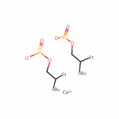 CCCCC(CC)CO[PH](=O)[O-].CCCCC(CC)CO[PH](=O)[O-].[Ca+2]